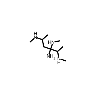 CNC(C)CC(N)(NC)C(C)NC